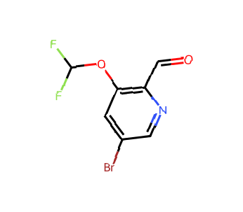 O=Cc1ncc(Br)cc1OC(F)F